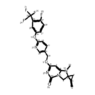 C=C1CC12Cn1c(cc(OCc3ccc(Oc4ccc(F)c(C(F)(F)F)c4)nc3)nc1=O)N2C